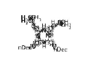 CCCCCCCCCCCOc1ccc(-c2c3nc(c(-c4ccc(OCCC[N+](C)(C)C)cc4)c4ccc([nH]4)c(-c4ccc(OCCC[N+](C)(C)C)cc4)c4nc(c(-c5ccc(OCCCCCCCCCCC)cc5)c5ccc2[nH]5)C=C4)C=C3)cc1